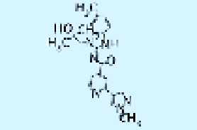 Cc1ccc2[nH]/c(=N\C(=O)c3ccnc(-c4cnn(C)c4)c3)n(CC(C)(C)O)c2c1